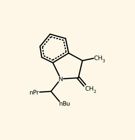 C=C1C(C)c2ccccc2N1C(CCC)CCCC